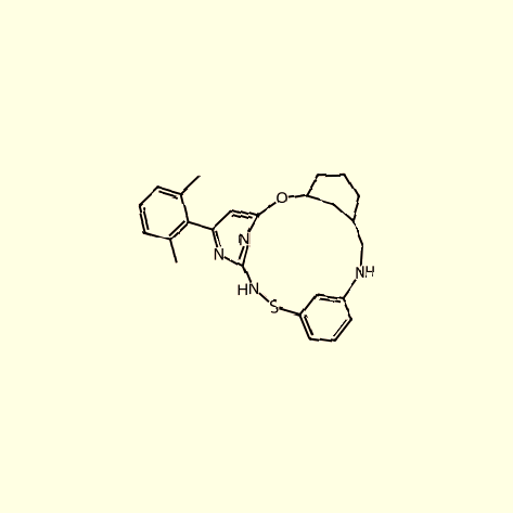 Cc1cccc(C)c1-c1cc2nc(n1)NSc1cccc(c1)NCC1CCCC(C1)O2